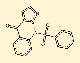 O=C(c1ccns1)c1ccccc1NS(=O)(=O)c1ccccc1